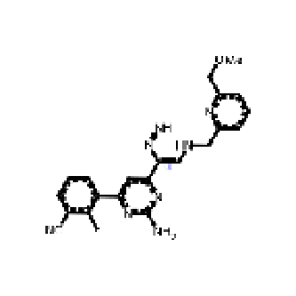 COCc1cccc(CN/C=C(\N=N)c2cc(-c3cccc(C#N)c3C)nc(N)n2)n1